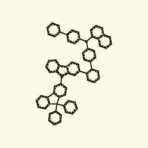 c1ccc(-c2ccc(N(c3ccc(-c4ccccc4-c4ccc5c6ccccc6n(-c6ccc7c(c6)-c6ccccc6C7(c6ccccc6)c6ccccc6)c5c4)cc3)c3cccc4ccccc34)cc2)cc1